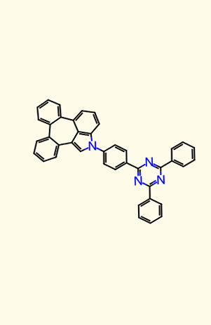 c1ccc(-c2nc(-c3ccccc3)nc(-c3ccc(-n4cc5c6c(cccc64)-c4ccccc4-c4ccccc4-5)cc3)n2)cc1